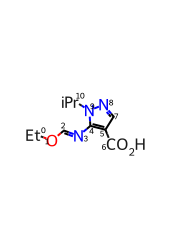 CCOC=Nc1c(C(=O)O)cnn1C(C)C